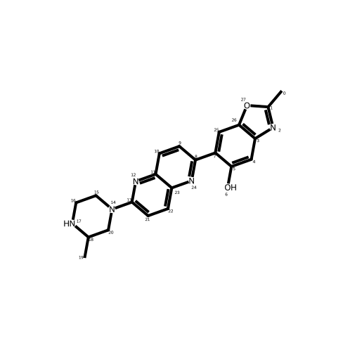 Cc1nc2cc(O)c(-c3ccc4nc(N5CCNC(C)C5)ccc4n3)cc2o1